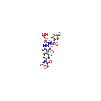 O=C(N[C@H](CNC(=O)c1ccc(Cl)s1)C(=O)N(c1ccc(N2CCOCC2=O)cc1)C(F)F)OCCO